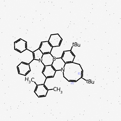 Cc1cccc(C)c1-c1cc2c3c(c1)-n1c(-c4ccccc4)c(-c4ccccc4)c4cc5c(c(c41)B3c1cc(C(C)(C)C)cc3c1N2C/C=C\C(C(C)(C)C)=C/C3)C=CCC5